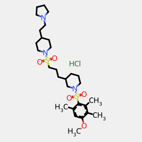 COc1cc(C)c(S(=O)(=O)N2CCCC(CCCS(=O)(=O)N3CCC(CCN4CCCC4)CC3)C2)c(C)c1C.Cl